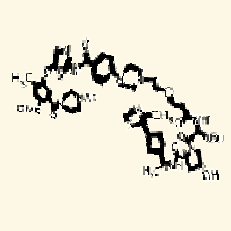 COc1cc(C)c(Sc2cnc(NC(=O)c3ccc(N4CCN(CCOCCC(=O)NC(C(=O)N5C[C@H](O)C[C@H]5C(=O)N[C@@H](C)c5ccc(-c6scnc6C)cc5)C(C)(C)C)CC4)cc3)s2)cc1C(=O)N1CCN(C(C)=O)CC1